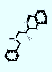 CN(Cc1ccccc1)C[C@@H](O)C1Cc2ccccc2C=N1